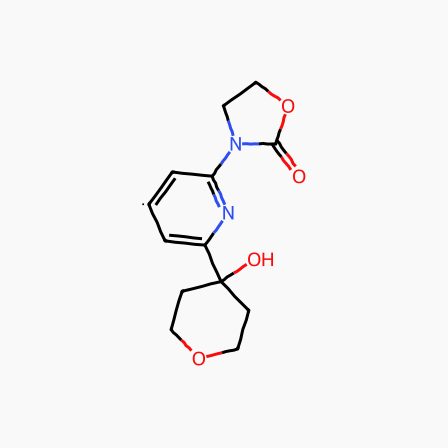 O=C1OCCN1c1c[c]cc(C2(O)CCOCC2)n1